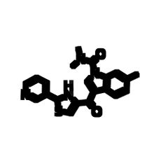 Cc1ccc2c(C(=O)C3=CSC(c4cccnc4)N3)cn(C(=O)N(C)C)c2c1